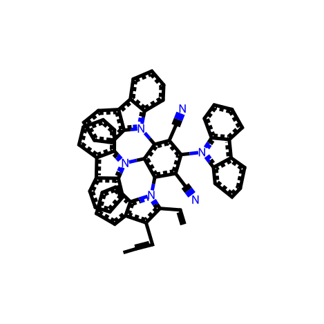 C=Cc1c(/C=C\C)c2ccccc2n1-c1c(C#N)c(-n2c3ccccc3c3ccccc32)c(C#N)c(-n2c3ccccc3c3ccccc32)c1-n1c2ccccc2c2ccccc21